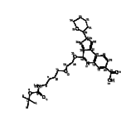 CC(C)(C)OC(=O)NCCCCOCCOc1nc2cc(C(=O)O)ccc2c2cn(C3CCCCO3)nc12